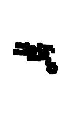 COc1cc(C(=O)c2ccc(OCc3ccccn3)cc2N)cc(OC)c1OC